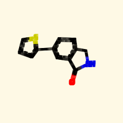 O=C1NCc2ccc(-c3cccs3)cc21